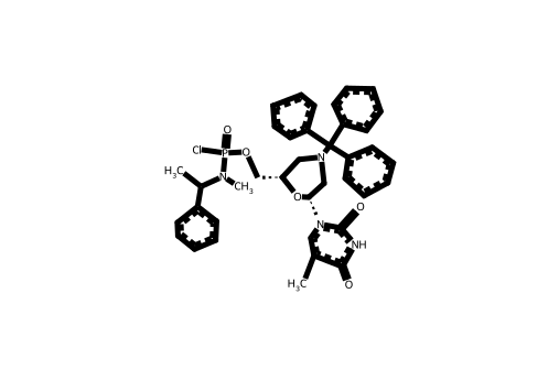 Cc1cn([C@H]2CN(C(c3ccccc3)(c3ccccc3)c3ccccc3)C[C@@H](COP(=O)(Cl)N(C)C(C)c3ccccc3)O2)c(=O)[nH]c1=O